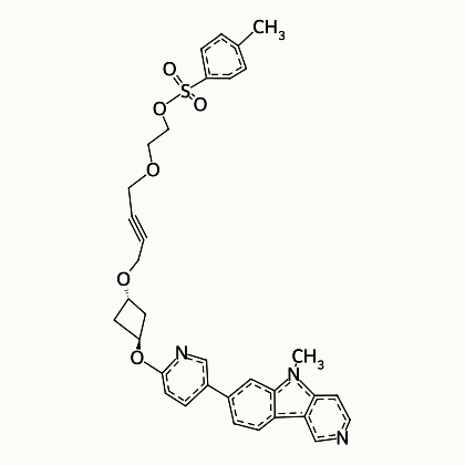 Cc1ccc(S(=O)(=O)OCCOCC#CCO[C@H]2C[C@H](Oc3ccc(-c4ccc5c6cnccc6n(C)c5c4)cn3)C2)cc1